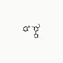 O=Cc1cccc(-c2cc3c(c(CNC(=O)c4ccc(C(F)(F)F)cc4F)c2)OCC3)c1